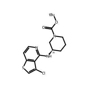 CC(C)(C)OC(=O)N1CCC[C@@H](Nc2nccc3scc(Cl)c23)C1